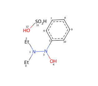 CCN(CC)N(O)c1ccccc1.O=S(=O)(O)O